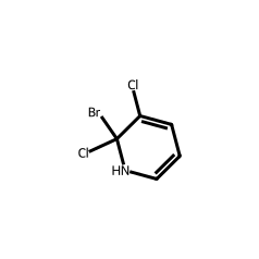 ClC1=CC=CNC1(Cl)Br